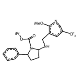 COc1ncc(C(F)(F)F)cc1CNC1CCC(c2ccccc2)N1C(=O)OC(C)C